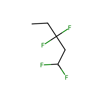 CCC(F)(F)C[C](F)F